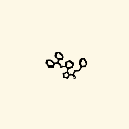 O=C(OCc1ccccc1)N1CCC[C@H]1c1ccccc1N=C(c1ccccc1)c1ccccc1